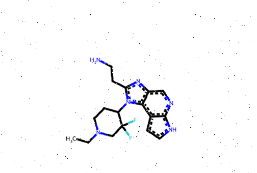 CCN1CCC(n2c(CCN)nc3cnc4[nH]ccc4c32)C(F)(F)C1